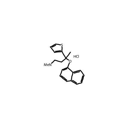 CNCCC(C)(Oc1cccc2ccccc12)c1cccs1.Cl